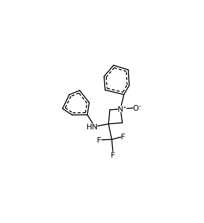 [O-][N+]1(c2ccccc2)CC(Nc2ccccc2)(C(F)(F)F)C1